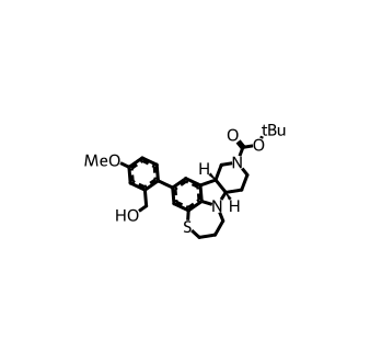 COc1ccc(-c2cc3c4c(c2)[C@@H]2CN(C(=O)OC(C)(C)C)CC[C@@H]2N4CCCS3)c(CO)c1